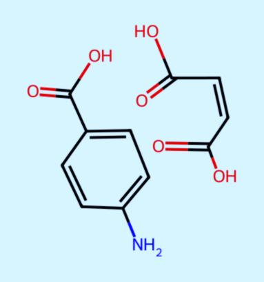 Nc1ccc(C(=O)O)cc1.O=C(O)/C=C\C(=O)O